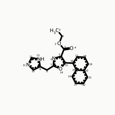 CCOC(=O)c1nc(Cc2cnc[nH]2)oc1-c1cccc2ccccc12